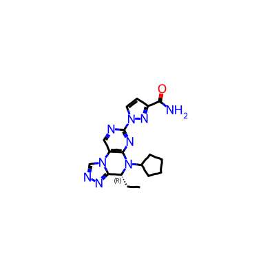 CC[C@@H]1c2nncn2-c2cnc(-n3ccc(C(N)=O)n3)nc2N1C1CCCC1